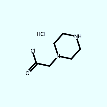 Cl.O=C(Cl)CN1CCNCC1